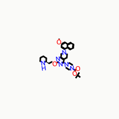 COc1cc(N2CCc3c(nc(OCC[C@@H]4CCCCN4)nc3N3CCN(C(=O)OC(C)(C)C)CC3)C2)c2ccccc2c1